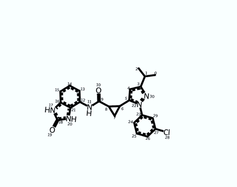 CC(C)c1cc(C2CC2C(=O)Nc2cccc3[nH]c(=O)[nH]c23)n(-c2cccc(Cl)c2)n1